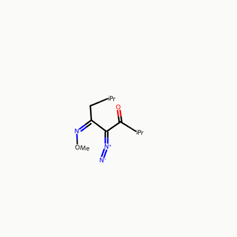 CON=C(CC(C)C)C(=[N+]=[N-])C(=O)C(C)C